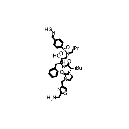 CC[C@H](C)[C@@H](C(=O)N[C@@H](Cc1ccccc1)[C@@H](O)CN(CC(C)C)S(=O)(=O)c1ccc(C=NO)cc1)N1CCN(Cc2csc(CN)n2)C1=O